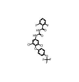 O=C(NC(=O)c1c(F)cccc1F)Nc1cc(Cl)c(Oc2ccc(OC(F)(F)F)cc2)c(Cl)c1